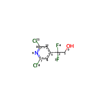 OCC(F)(F)c1cc(Cl)nc(Cl)c1